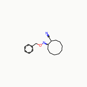 N#CC1CCCCCCCCC1=NOCc1ccccc1